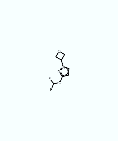 FC(F)Oc1ccn(C2COC2)n1